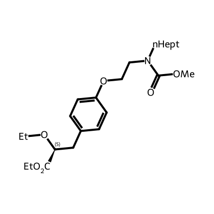 CCCCCCCN(CCOc1ccc(C[C@H](OCC)C(=O)OCC)cc1)C(=O)OC